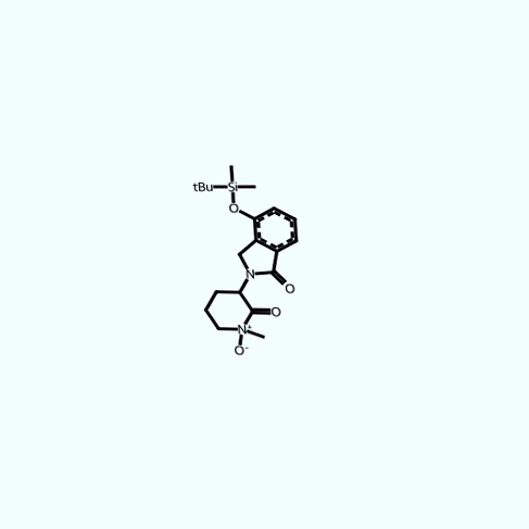 CC(C)(C)[Si](C)(C)Oc1cccc2c1CN(C1CCC[N+](C)([O-])C1=O)C2=O